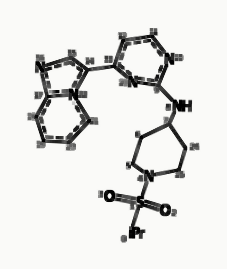 CC(C)S(=O)(=O)N1CCC(Nc2nccc(-c3cnc4ccccn34)n2)CC1